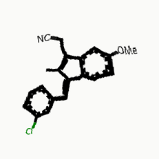 COc1ccc2c(c1)C(CC#N)=C(C)C2=Cc1cccc(Cl)c1